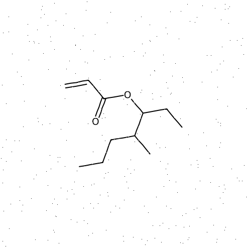 C=CC(=O)OC(CC)C(C)CCC